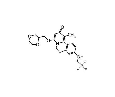 Cc1c2n(c(OC[C@@H]3COCCO3)cc1=O)CCc1cc(NCC(F)(F)F)ccc1-2